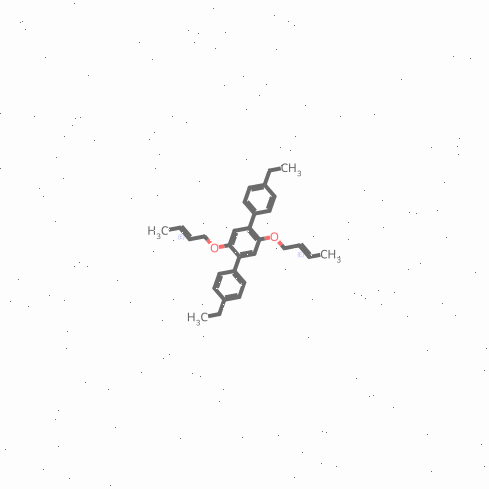 C/C=C/COc1cc(-c2ccc(CC)cc2)c(OC/C=C/C)cc1-c1ccc(CC)cc1